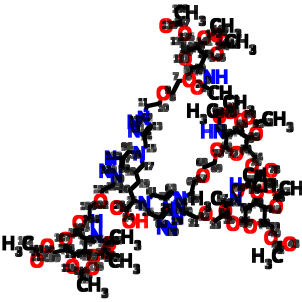 CC(=O)N[C@H]1[C@H](OCCOCCn2cc(CN(CCCCC(C(=O)O)N(Cc3cn(CCOCCO[C@@H]4O[C@H](COC(C)=O)C(OC(C)=O)[C@H](OC(C)=O)[C@H]4NC(C)=O)nn3)Cc3cn(CCOCCO[C@@H]4O[C@H](COC(C)=O)C(OC(C)=O)[C@H](OC(C)=O)[C@H]4NC(C)=O)nn3)Cc3cn(CCOCCO[C@@H]4O[C@H](COC(C)=O)C(OC(C)=O)[C@H](OC(C)=O)[C@H]4NC(C)=O)nn3)nn2)O[C@H](COC(C)=O)[C@@H](OC(C)=O)[C@@H]1OC(C)=O